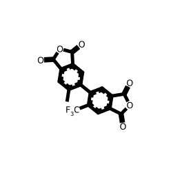 Cc1cc2c(cc1-c1cc3c(cc1C(F)(F)F)C(=O)OC3=O)C(=O)OC2=O